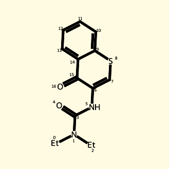 CCN(CC)C(=O)Nc1csc2ccccc2c1=O